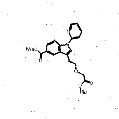 COC(=O)c1ccc2c(c1)c(CCOCC(=O)OC(C)(C)C)cn2-c1ccccn1